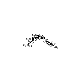 C=C(Br)C(=O)Nc1ccc2sc(C(=O)Nc3cc(C(=O)Nc4cc(C(=O)Nc5cc(C(=O)NCCC(=N)N)n(C)c5)n(C)c4)n(C)c3)cc2c1